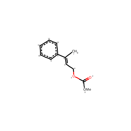 COC(=O)OC/C=C(\C)c1ccccc1